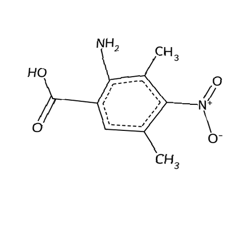 Cc1cc(C(=O)O)c(N)c(C)c1[N+](=O)[O-]